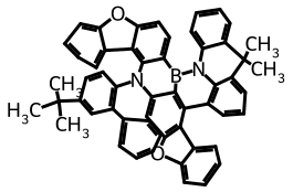 CC(C)(C)c1ccc(N2c3cc4oc5ccccc5c4c4c3B(c3ccc5oc6ccccc6c5c32)N2c3ccccc3C(C)(C)c3cccc-4c32)c(-c2ccccc2)c1